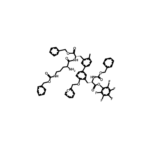 Cc1ccc(-c2ccc(OCc3ccccc3)c(C[C@H](NC(=O)OCc3ccccc3)C(=O)Oc3c(F)c(F)c(F)c(F)c3F)c2)cc1C[C@H](NC(=O)[C@@H](N)CCCNC(=O)OCc1ccccc1)C(=O)OCc1ccccc1